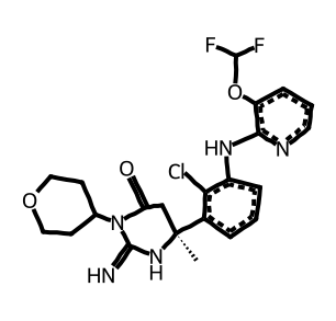 C[C@@]1(c2cccc(Nc3ncccc3OC(F)F)c2Cl)CC(=O)N(C2CCOCC2)C(=N)N1